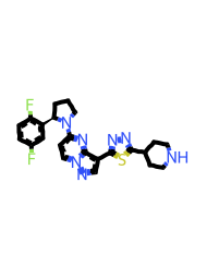 Fc1ccc(F)c([C@H]2CCCN2c2ccn3ncc(-c4nnc(C5CCNCC5)s4)c3n2)c1